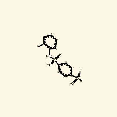 Cc1ccccc1NS(=O)(=O)c1ccc(S(C)(=O)=O)cc1